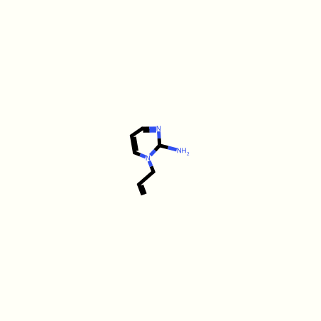 C=CCN1C=CC=NC1N